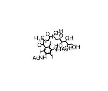 CC(=O)Nc1c(I)c(NC(C)=O)c(I)c(C(=O)N(C)CC(=O)N(C)CC(O)C(O)C(O)C(O)CO)c1I